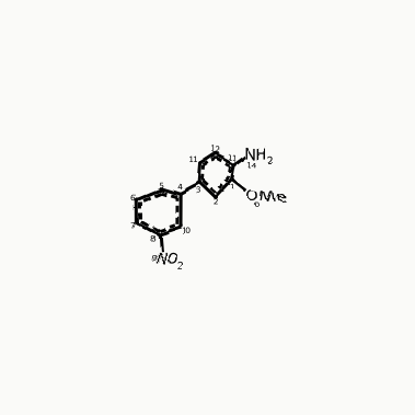 COc1cc(-c2cccc([N+](=O)[O-])c2)ccc1N